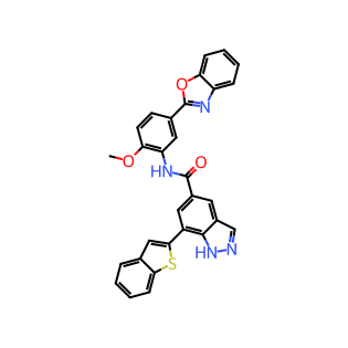 COc1ccc(-c2nc3ccccc3o2)cc1NC(=O)c1cc(-c2cc3ccccc3s2)c2[nH]ncc2c1